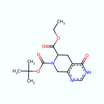 CCOC(=O)C1Cc2c(nc[nH]c2=O)CN1C(=O)OC(C)(C)C